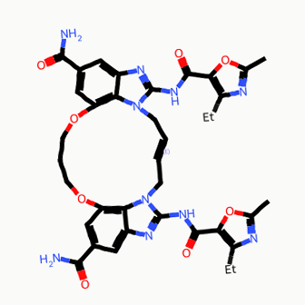 CCc1nc(C)oc1C(=O)Nc1nc2cc(C(N)=O)cc3c2n1C/C=C/Cn1c(NC(=O)c2oc(C)nc2CC)nc2cc(C(N)=O)cc(c21)OCCCO3